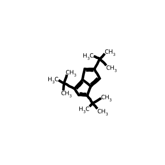 CC(C)(C)C1=CC2=C(C(C)(C)C)C=C(C(C)(C)C)C2=C1